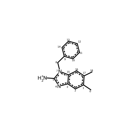 Cc1cc2nc(N)n(Cc3ccccc3)c2cc1C